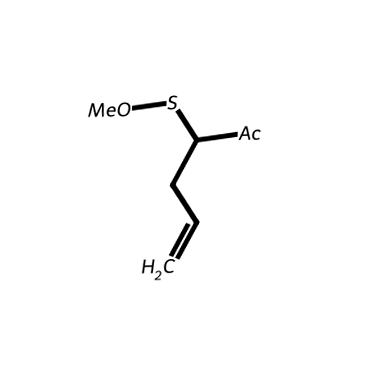 C=CCC(SOC)C(C)=O